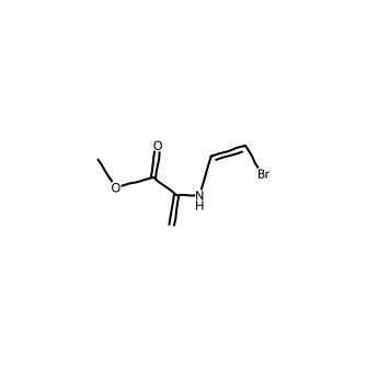 C=C(N/C=C\Br)C(=O)OC